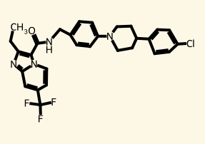 CCc1nc2cc(C(F)(F)F)ccn2c1C(=O)NCc1ccc(N2CCC(c3ccc(Cl)cc3)CC2)cc1